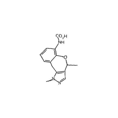 CC1Oc2c(NC(=O)O)cccc2-c2c1cnn2C